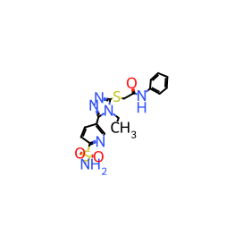 CCn1c(SCC(=O)Nc2ccccc2)nnc1-c1ccc(S(N)(=O)=O)nc1